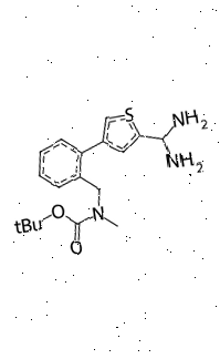 CN(Cc1ccccc1-c1csc(C(N)N)c1)C(=O)OC(C)(C)C